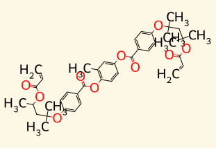 C=CC(=O)OC(C)CC(C)(C)Oc1ccc(C(=O)Oc2ccc(OC(=O)c3ccc(OC(C)(C)CC(C)(C)OC(=O)C=C)cc3)cc2C)cc1